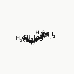 CCCC[Si](C)(C)OC1CN(C(=O)CCOc2ccc(CNC(=O)c3ccc(CNC(=O)OC(C)(C)C)cc3)cc2)CC1=O